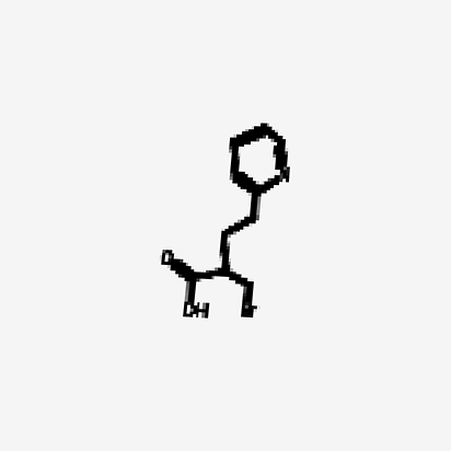 O=C(O)C(CBr)CCc1ccccn1